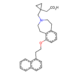 O=C(O)CC1(CN2CCc3cccc(OCCc4cccc5ccccc45)c3CC2)CC1